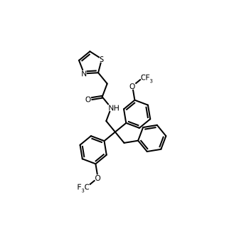 O=C(Cc1nccs1)NCC(Cc1ccccc1)(c1cccc(OC(F)(F)F)c1)c1cccc(OC(F)(F)F)c1